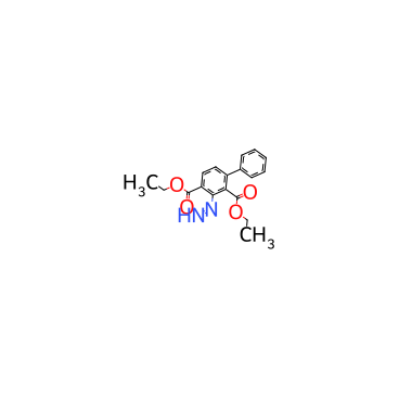 CCOC(=O)c1ccc(-c2ccccc2)c(C(=O)OCC)c1N=N